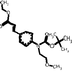 CCOC(=O)/C=C/c1ccc(N(CCOC)C(=O)OC(C)(C)C)cc1